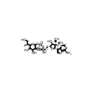 C#C[C@@]1(OC)[C@H](O)[C@@H](COP(=O)(S)OP(=O)(O)OC2OC([C@@H](F)CO)C(O)C(O)C2O)O[C@H]1c1coc2c(N)ncnc12